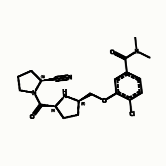 CN(C)C(=O)c1ccc(Cl)c(OC[C@H]2CC[C@@H](C(=O)N3CCC[C@H]3C#N)N2)c1